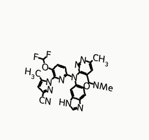 CNC(=O)c1cc(C)nnc1N(c1ccc2nc[nH]c2c1)c1ccc(OC(F)F)c(-n2nc(C#N)cc2C)n1